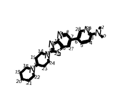 CN(C)c1ccc(-c2cnc3nc(N4CCC(N5CCCCC5)CC4)sc3c2)cn1